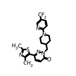 Cc1nc(C)c(-c2ccc(=O)n(CC3CCN(c4ccc(C(F)(F)F)cn4)CC3)n2)s1